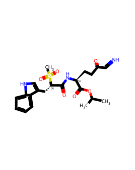 CC(C)OC(=O)[C@H](CCC(=O)C=N)NC(=O)[C@H](Cc1c[nH]c2ccccc12)S(C)(=O)=O